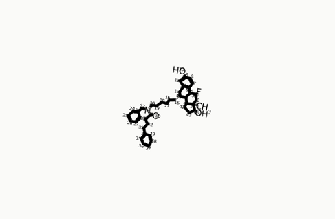 C[C@]12C[C@H](F)C3c4ccc(O)cc4C[C@@H](CCCCCCN(Cc4ccccc4)C(=O)CCCc4ccccc4)C3C1CC[C@@H]2O